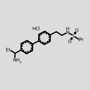 CCC(N)c1ccc(-c2ccc(CCNS(=O)(=O)C(C)C)cc2)cc1.Cl